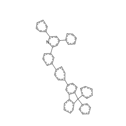 c1ccc(-c2cc(-c3ccccc3)nc(-c3cccc(-c4ccc(-c5ccc6c(c5)-c5ccccc5C6(c5ccccc5)c5ccccc5)cc4)c3)c2)cc1